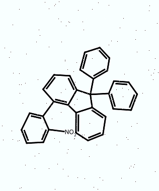 O=[N+]([O-])c1ccccc1-c1cccc2c1-c1ccccc1C2(c1ccccc1)c1ccccc1